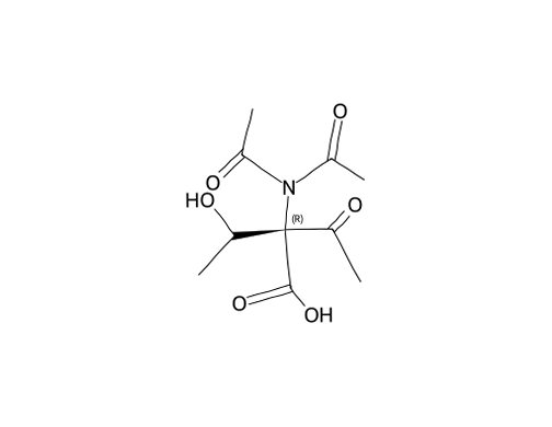 CC(=O)N(C(C)=O)[C@](C(C)=O)(C(=O)O)C(C)O